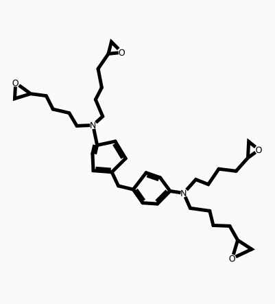 c1cc(N(CCCCC2CO2)CCCCC2CO2)ccc1Cc1ccc(N(CCCCC2CO2)CCCCC2CO2)cc1